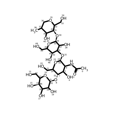 CC(=O)NC1C(O)[C@H](O[C@@H]2OC(CO)[C@H](O)C(O)C2O)C(CO)O[C@H]1OC1C(O)[C@H](O[C@@H]2C(CO)OCC(C)C2O)OC(CO)[C@@H]1O